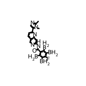 Bc1c(B)c(C(=O)Nc2cc3nc(-c4cnc(C)n4C)ccc3cn2)c(B)c(B)c1F